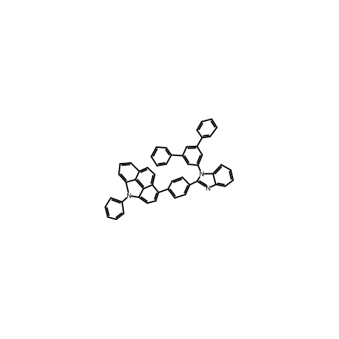 c1ccc(-c2cc(-c3ccccc3)cc(-n3c(-c4ccc(-c5ccc6c7c5ccc5cccc(c57)n6-c5ccccc5)cc4)nc4ccccc43)c2)cc1